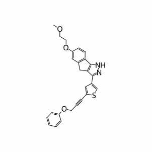 COCCOc1ccc2c(c1)Cc1c(-c3csc(C#CCOc4ccccc4)c3)n[nH]c1-2